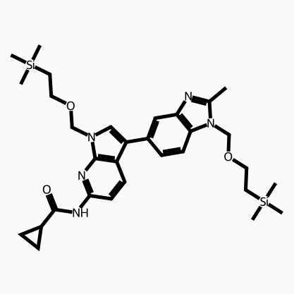 Cc1nc2cc(-c3cn(COCC[Si](C)(C)C)c4nc(NC(=O)C5CC5)ccc34)ccc2n1COCC[Si](C)(C)C